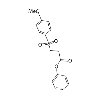 COc1ccc(S(=O)(=O)CCC(=O)Oc2ccccc2)cc1